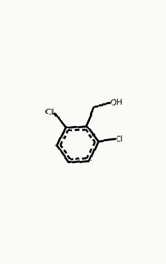 OCc1c(Cl)[c]ccc1Cl